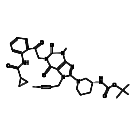 CC#CCn1c(N2CCC[C@@H](NC(=O)OC(C)(C)C)C2)nc2c1c(=O)n(CC(=O)c1ccccc1NC(=O)C1CC1)c(=O)n2C